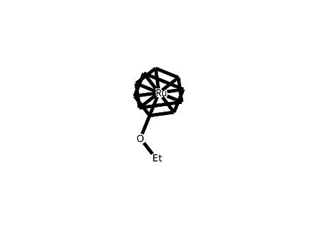 CCO[C]12[CH]3[CH]4[CH]5[CH]1[Ru]45321678[CH]2[CH]1[CH]6[CH]7[CH]28